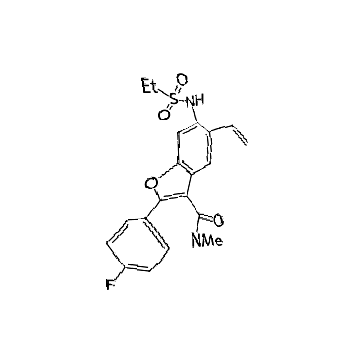 C=Cc1cc2c(C(=O)NC)c(-c3ccc(F)cc3)oc2cc1NS(=O)(=O)CC